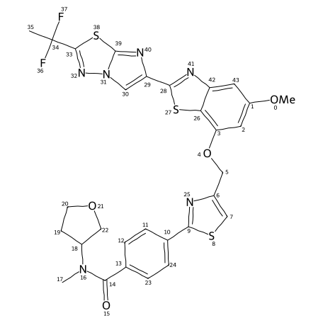 COc1cc(OCc2csc(-c3ccc(C(=O)N(C)C4CCOC4)cc3)n2)c2sc(-c3cn4nc(C(C)(F)F)sc4n3)nc2c1